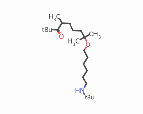 CC(CCCC(C)(C)OCCCCCCNC(C)(C)C)C(=O)C(C)(C)C